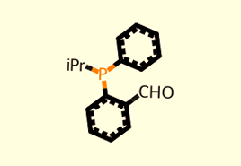 CC(C)P(c1ccccc1)c1ccccc1C=O